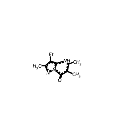 CCc1c(C)nn2c(=O)c(C)c(C)[nH]c12